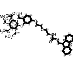 COC(=O)[C@H]1O[C@@H](Oc2cc(OCCOCCNC(=O)OCC3c4ccccc4-c4ccccc43)ccc2CO)[C@H](CC(=O)O)[C@@H](CC(=O)O)[C@@H]1CC(=O)O